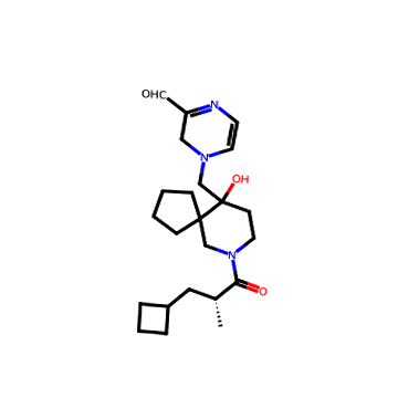 C[C@H](CC1CCC1)C(=O)N1CCC(O)(CN2C=CN=C(C=O)C2)C2(CCCC2)C1